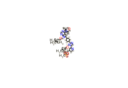 C[Si](C)(C)CCOCn1c(-c2cc(COS(C)(=O)=O)ccn2)cnc1-c1ccc(-c2cc3c(N4[C@@H]5CC[C@H]4COC5)ncnc3n2COCC[Si](C)(C)C)cc1